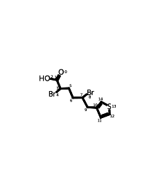 O=C(O)C(Br)CCC(Br)Cc1ccsc1